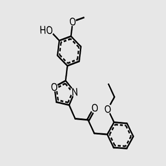 CCOc1ccccc1CC(=O)Cc1coc(-c2ccc(OC)c(O)c2)n1